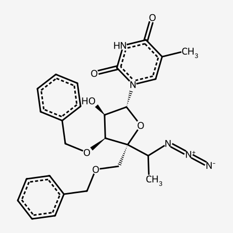 Cc1cn([C@@H]2O[C@@](COCc3ccccc3)(C(C)N=[N+]=[N-])[C@@H](OCc3ccccc3)[C@H]2O)c(=O)[nH]c1=O